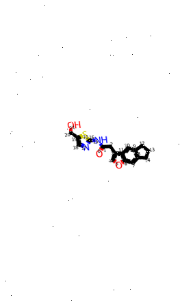 O=C(Cc1coc2cc3c(cc12)CCC3)Nc1ncc(CO)s1